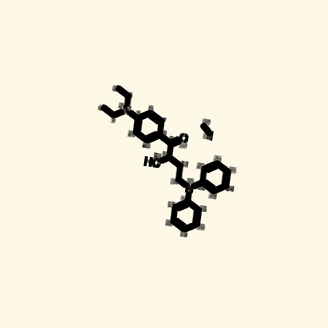 CCN(CC)c1ccc(C(=O)C(O)CCN(c2ccccc2)c2ccccc2)cc1.CI